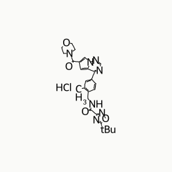 Cc1cc(-c2ncnn3cc(C(=O)N4CCOCC4)cc23)ccc1CNC(=O)c1noc(C(C)(C)C)n1.Cl